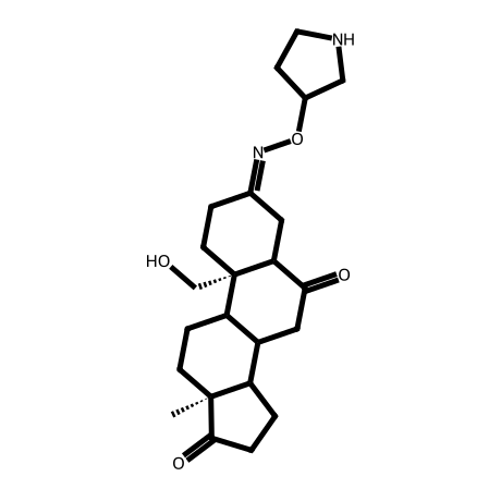 C[C@]12CCC3C(CC(=O)C4CC(=NOC5CCNC5)CC[C@@]43CO)C1CCC2=O